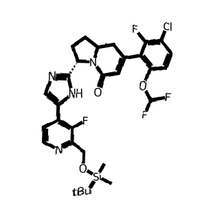 CC(C)(C)[Si](C)(C)OCc1nccc(-c2cnc([C@@H]3CCC4CC(c5c(OC(F)F)ccc(Cl)c5F)=CC(=O)N43)[nH]2)c1F